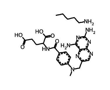 CCCCCN.CN(Cc1cnc2nc(N)nc(N)c2n1)c1ccc(C(=O)NC(CCC(=O)O)C(=O)O)cc1